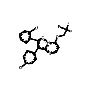 FC(F)(F)COc1ccnc2c(-c3ccc(Cl)cc3)c(-c3ccccc3Cl)nn12